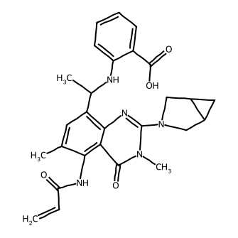 C=CC(=O)Nc1c(C)cc(C(C)Nc2ccccc2C(=O)O)c2nc(N3CC4CC4C3)n(C)c(=O)c12